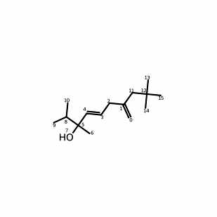 C=C(C/C=C/C(C)(O)C(C)C)CC(C)(C)C